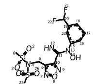 CS(=O)(=O)N(Cc1nonc1C(=N)N(O)c1cccc(C(F)F)c1)S(C)(=O)=O